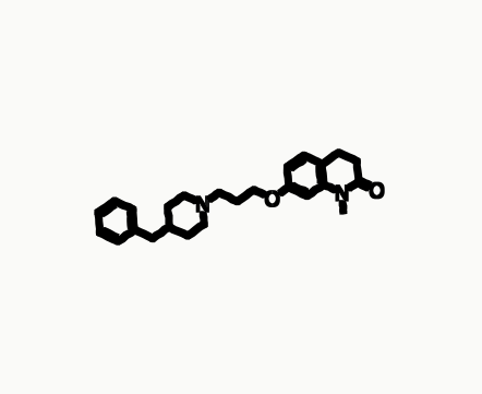 CN1C(=O)CCc2ccc(OCCCN3CCC(Cc4ccccc4)CC3)cc21